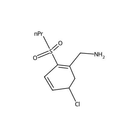 CCCS(=O)(=O)C1=C(CN)CC(Cl)C=C1